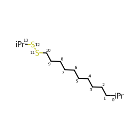 CC(C)CCCCCCCCCCSSC(C)C